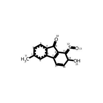 Cc1ccc2c(c1)C1=C(C2=O)C(=S=O)C(O)C=C1